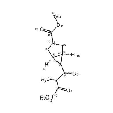 CCOC(=O)C(=O)C(C)C(=O)C1[C@H]2CN(C(=O)OC(C)(C)C)C[C@@H]12